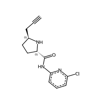 C#CC[C@@H]1CC[C@@H](C(=O)Nc2cccc(Cl)n2)N1